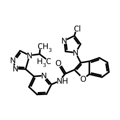 CC(C)n1cnnc1-c1cccc(NC(=O)c2oc3ccccc3c2-n2cnc(Cl)c2)n1